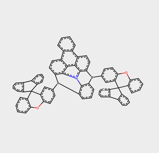 c1ccc2c(c1)Oc1ccc(B3c4cccc5c4-n4c6c3ccc3c7ccccc7c7ccc(c4c7c36)B5c3ccc4c(c3)C3(c5ccccc5O4)c4ccccc4-c4ccccc43)cc1C21c2ccccc2-c2ccccc21